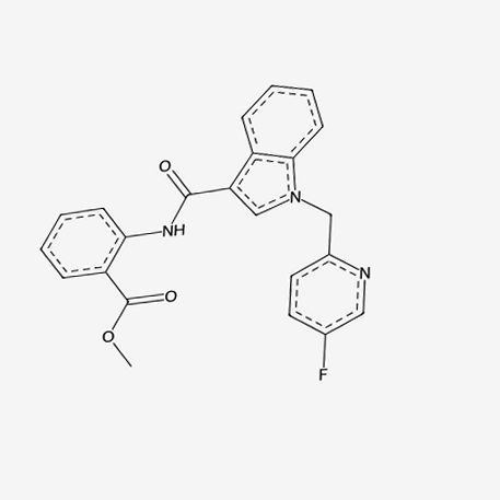 COC(=O)c1ccccc1NC(=O)c1cn(Cc2ccc(F)cn2)c2ccccc12